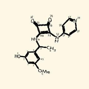 COc1cc(O)cc(C(C)Nc2c(Nc3ccncc3)c(=O)c2=O)c1